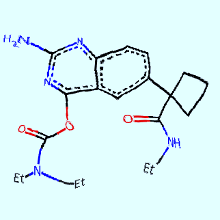 CCNC(=O)C1(c2ccc3nc(N)nc(OC(=O)N(CC)CC)c3c2)CCC1